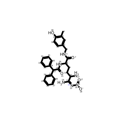 Cc1cc(CNC(=O)C(CCC(N)/C(N)=N\[N+](=O)[O-])NC(=O)C(c2ccccc2)c2ccccc2)ccc1O